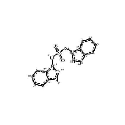 O=S(=O)(On1nnc2ccccc21)On1nnc2ccccc21